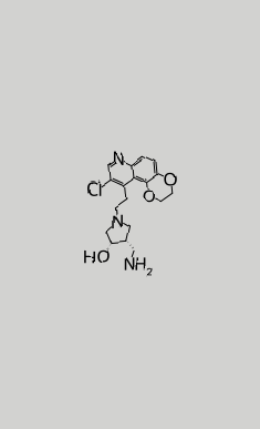 NC[C@H]1CN(CCc2c(Cl)cnc3ccc4c(c23)OCCO4)C[C@H]1O